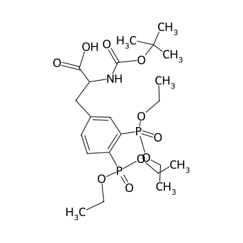 CCOP(=O)(OCC)c1ccc(CC(NC(=O)OC(C)(C)C)C(=O)O)cc1P(=O)(OCC)OCC